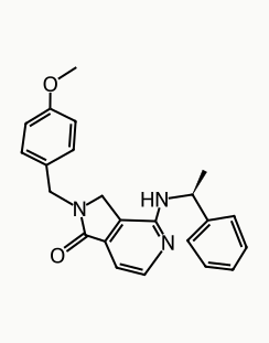 COc1ccc(CN2Cc3c(ccnc3N[C@@H](C)c3ccccc3)C2=O)cc1